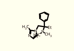 CCC(Cn1ccnc1C)(c1ccccc1)N(C)C